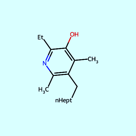 CCCCCCCCc1c(C)nc(CC)c(O)c1C